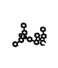 C/C=C\C1=C(C)c2ccc(-c3ccccc3)cc2C12c1ccccc1-c1c(-c3ccc(N4c5ccc(-c6ccccc6)cc5Oc5cc(-c6ccccc6)ccc54)cc3)cccc12